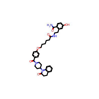 NC(=O)c1ccc(O)cc1CCNC(=O)CCCCCOc1ccc(C(=O)N2CCC(N3C(=O)CCc4ccccc43)CC2)cc1